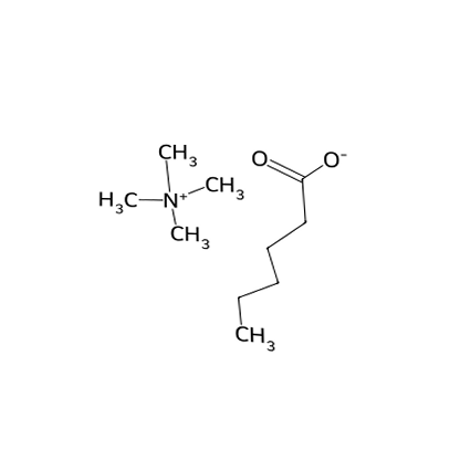 CCCCCC(=O)[O-].C[N+](C)(C)C